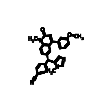 COc1cccc(-c2cc(=O)n(C)c3ccc([C@H](c4ccc(C#N)cc4)c4cncn4C)cc23)c1